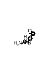 Cc1c(Cl)cccc1N1CCN(C(=O)[C@H]2CC(CN)CN2)CC1